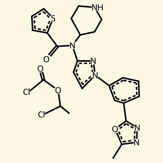 CC(Cl)OC(=O)Cl.Cc1nnc(-c2cccc(-n3ccc(N(C(=O)c4cccs4)C4CCNCC4)n3)c2)o1